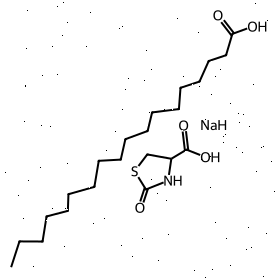 CCCCCCCCCCCCCCCCCC(=O)O.O=C1NC(C(=O)O)CS1.[NaH]